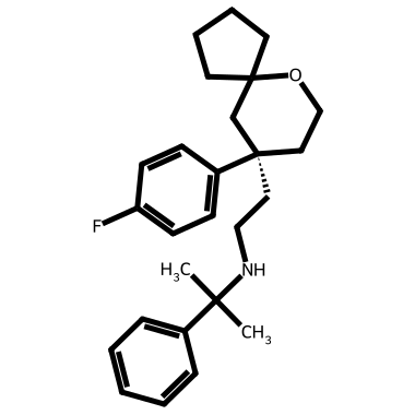 CC(C)(NCC[C@@]1(c2ccc(F)cc2)CCOC2(CCCC2)C1)c1ccccc1